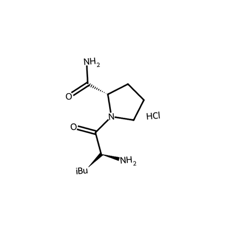 CC[C@H](C)[C@H](N)C(=O)N1CCC[C@H]1C(N)=O.Cl